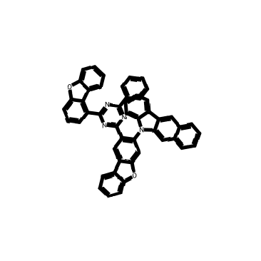 c1ccc(-c2nc(-c3cc4c(cc3-n3c5ccccc5c5cc6ccccc6cc53)oc3ccccc34)nc(-c3cccc4oc5ccccc5c34)n2)cc1